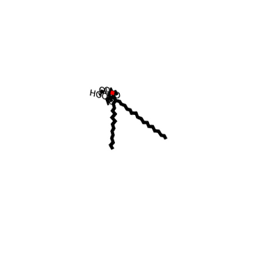 CCCCCCCCCCCCCCCCCCC(CCCCCCCCCCCCCC)C1(C2(C3(OP(O)O)CCO3)CCO2)CCO1